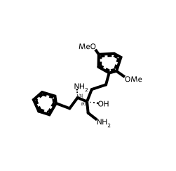 COc1ccc(OC)c(CC[C@@](O)(CN)[C@@H](N)Cc2ccccc2)c1